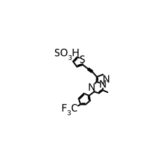 Cc1cc(-c2ccc(C(F)(F)F)cc2)nc2c(C#Cc3ccc(S(=O)(=O)O)s3)cnn12